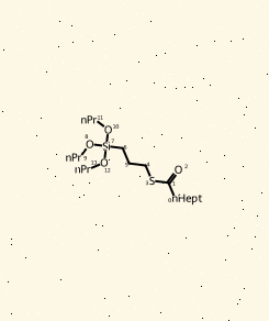 CCCCCCCC(=O)SCCC[Si](OCCC)(OCCC)OCCC